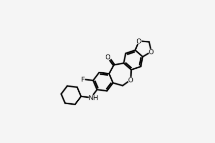 O=C1c2cc(F)c(NC3CCCCC3)cc2COc2cc3c(cc21)OCO3